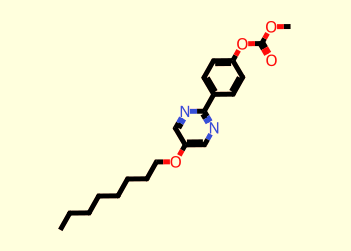 CCCCCCCCOc1cnc(-c2ccc(OC(=O)OC)cc2)nc1